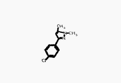 Cc1cc(-c2ccc(Cl)cc2)nn1C